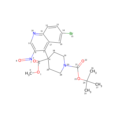 COC(=O)C1(c2c(N=O)cnc3ccc(Br)cc23)CCN(C(=O)OC(C)(C)C)CC1